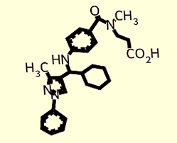 Cc1nn(-c2ccccc2)cc1C(Nc1ccc(C(=O)N(C)CCC(=O)O)cc1)C1CCCCC1